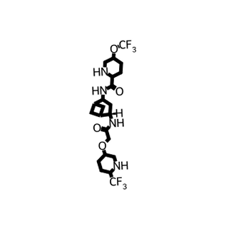 O=C(COC1CCC(C(F)(F)F)NC1)N[C@H]1CC(NC(=O)C2CCC(OC(F)(F)F)CN2)C2CC1C2